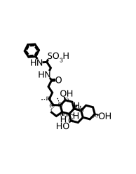 C[C@H](CCC(=O)NCC(Nc1ccccc1)S(=O)(=O)O)[C@H]1CC[C@H]2[C@@H]3[C@H](O)CC4C[C@H](O)CC[C@]4(C)[C@H]3C[C@H](O)[C@]12C